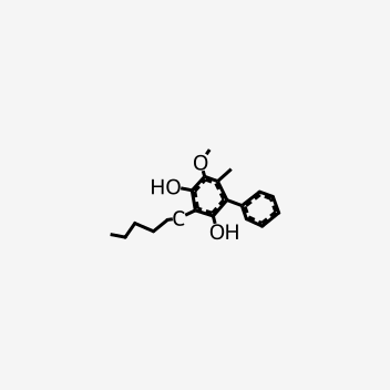 CCCCCCc1c(O)c(OC)c(C)c(-c2ccccc2)c1O